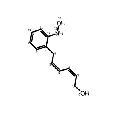 OC/C=C\C=C/Cc1ccccc1NO